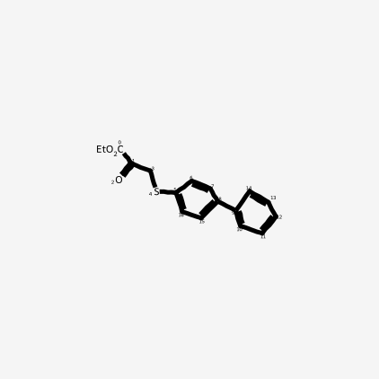 CCOC(=O)C(=O)CSc1ccc(-c2ccccc2)cc1